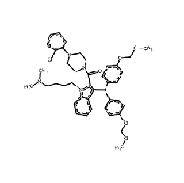 COCOc1ccc(C(c2ccc(OCOC)cc2)c2c(C(=O)N3CCN(c4ccccc4Cl)CC3)n(CCCCN(C)C)c3ccccc23)cc1